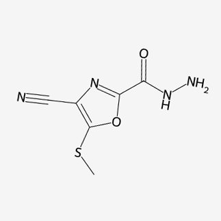 CSc1oc(C(=O)NN)nc1C#N